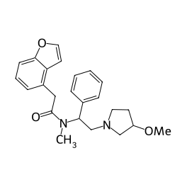 COC1CCN(CC(c2ccccc2)N(C)C(=O)Cc2cccc3occc23)C1